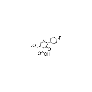 COCc1cnn(-c2ccc(F)cc2)c(=O)c1C(=O)O